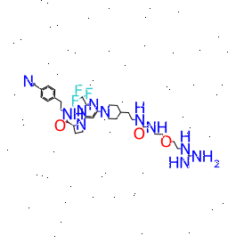 N#Cc1ccc(CCNC(=O)[C@@H]2CCN2c2cc(N3CCC(CCNC(=O)NCCOCCNC(=N)N)CC3)nc(C(F)(F)F)n2)cc1